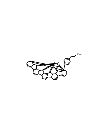 CCCCCCCCCCCCc1ccc(C2N(C)CC34C5=CC=C6C7C=C=C8c9ccc%10c%11ccc%12c%13c%14c%15c(c%16c%17c(c9c%10c(c%17%15)c%13%11)C8C7C=%16C623)=C4C2C5=C=CC%12C%142)cc1